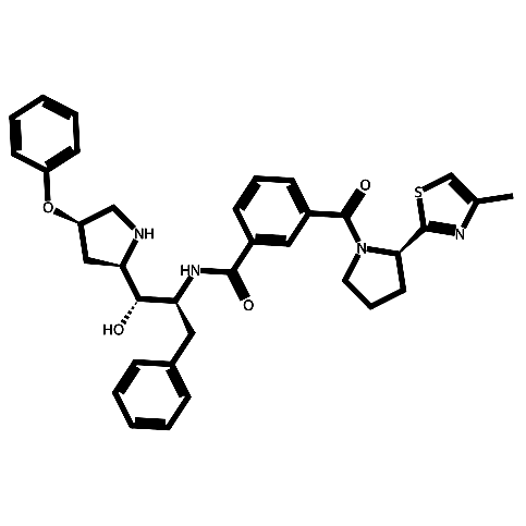 Cc1csc([C@H]2CCCN2C(=O)c2cccc(C(=O)N[C@@H](Cc3ccccc3)[C@H](O)[C@H]3C[C@@H](Oc4ccccc4)CN3)c2)n1